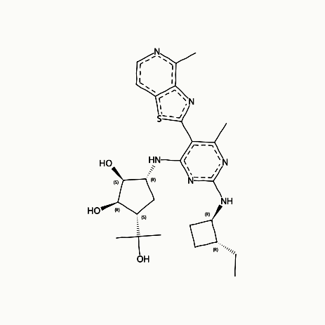 CC[C@@H]1CC[C@H]1Nc1nc(C)c(-c2nc3c(C)nccc3s2)c(N[C@@H]2C[C@H](C(C)(C)O)[C@@H](O)[C@H]2O)n1